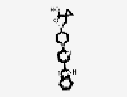 O=C(O)C1(COC2CCN(c3ccc(-c4nc5ccccc5[nH]4)cn3)CC2)CC1